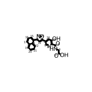 O=C(O)CNC(=O)c1ncc(-c2cc(-c3cccc4ccccc34)no2)cc1O